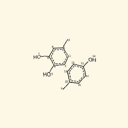 Cc1ccc(O)c(O)c1.Cc1ccc(O)cc1